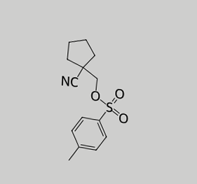 Cc1ccc(S(=O)(=O)OCC2(C#N)CCCC2)cc1